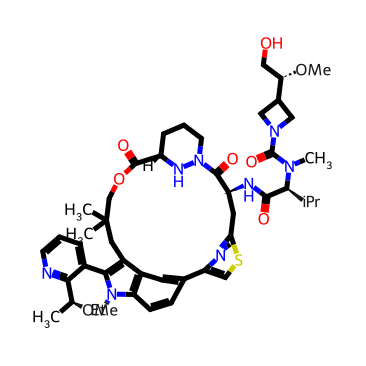 CCn1c(-c2cccnc2[C@H](C)OC)c2c3cc(ccc31)-c1csc(n1)C[C@H](NC(=O)[C@H](C(C)C)N(C)C(=O)N1CC([C@H](CO)OC)C1)C(=O)N1CCC[C@H](N1)C(=O)OCC(C)(C)C2